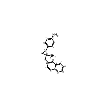 Nc1ccc(C2CC2(N)Cc2ccc3ccccc3c2)cc1